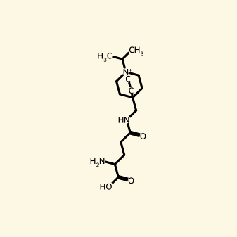 CC(C)[N+]12CCC(CNC(=O)CCC(N)C(=O)O)(CC1)CC2